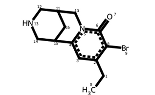 CCc1cc2n(c(=O)c1Br)CC1CNCC2C1